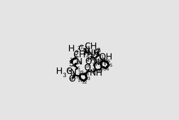 Cc1csc(CN(C)C(=O)c2cccc(C(=O)NC(CNC(C(=O)NCC(C)C)C(C)O)Cc3ccccc3)c2)n1